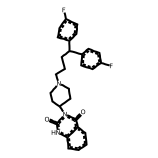 O=c1[nH]c2ccccc2c(=O)n1C1CCN(CCCC(c2ccc(F)cc2)c2ccc(F)cc2)CC1